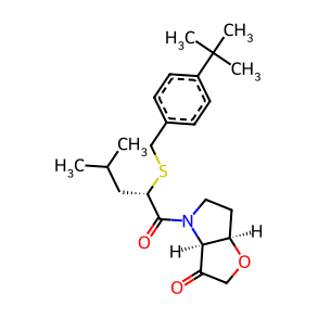 CC(C)C[C@H](SCc1ccc(C(C)(C)C)cc1)C(=O)N1CC[C@H]2OCC(=O)[C@H]21